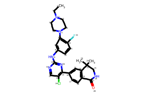 CCN1CCN(c2cc(Nc3ncc(Cl)c(-c4ccc5c(c4)C(C)(C)CNC5=O)n3)ccc2F)CC1